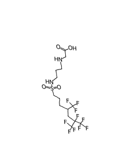 O=C(O)CNCCCNS(=O)(=O)CCCC(CC(F)(C(F)(F)F)C(F)(F)F)C(F)(F)F